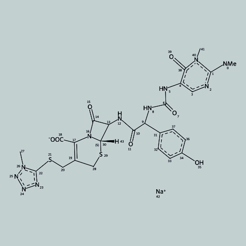 CNc1ncc(NC(=O)NC(C(=O)NC2C(=O)N3C(C(=O)[O-])=C(CSc4nnnn4C)CS[C@@H]23)c2ccc(O)cc2)c(=O)n1C.[Na+]